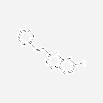 Clc1ccc2ccc(/C=C/c3c[c]ccc3)nc2c1